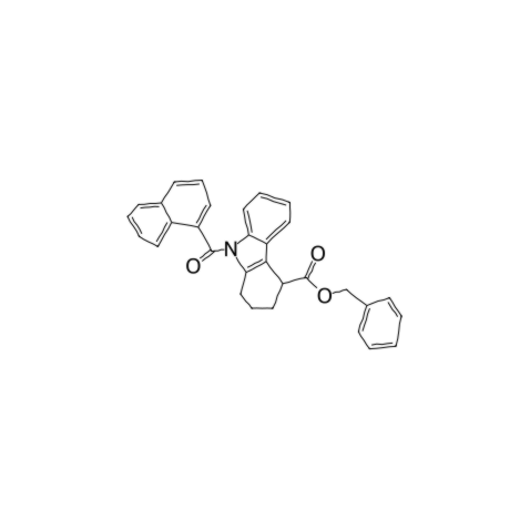 O=C(OCc1ccccc1)C1CCCc2c1c1ccccc1n2C(=O)c1cccc2ccccc12